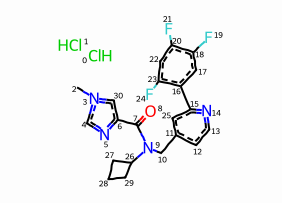 Cl.Cl.Cn1cnc(C(=O)N(Cc2ccnc(-c3cc(F)c(F)cc3F)c2)C2CCC2)c1